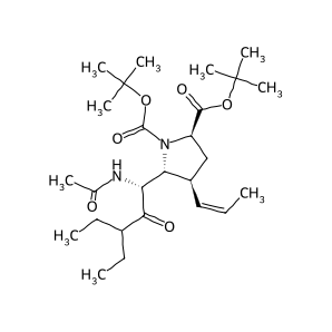 C/C=C\[C@@H]1C[C@H](C(=O)OC(C)(C)C)N(C(=O)OC(C)(C)C)[C@H]1[C@@H](NC(C)=O)C(=O)C(CC)CC